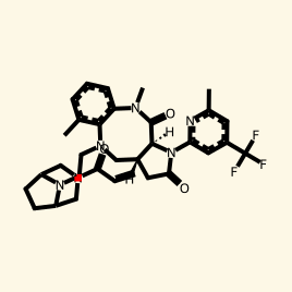 C=CC(=O)N1CC2CCC(C1)N2CCN1C[C@H]2CC(=O)N(c3cc(C(F)(F)F)cc(C)n3)[C@@H]2C(=O)N(C)c2cccc(C)c21